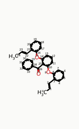 CC=Cc1ccccc1Oc1cccc(Oc2ccccc2C=CC)c1C(=O)c1ccccc1